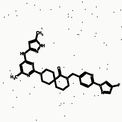 Cc1cc(Nc2cc(C)[nH]n2)nc(N2CCC3(CCCN(Cc4ccc(-n5cc(F)cn5)nc4)C3=O)CC2)n1